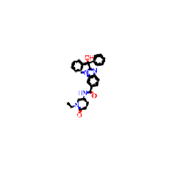 CCN1C[C@H](NC(=O)c2ccc3nc(C(O)(c4ccccc4)c4ccccc4)n(C)c3c2)CCC1=O